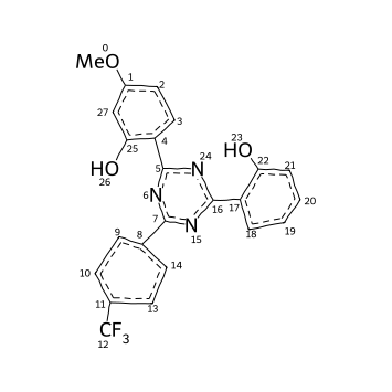 COc1ccc(-c2nc(-c3ccc(C(F)(F)F)cc3)nc(-c3ccccc3O)n2)c(O)c1